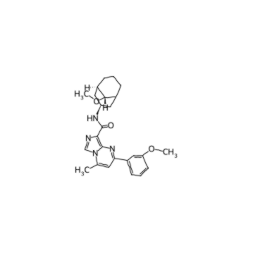 COc1cccc(-c2cc(C)n3cnc(C(=O)N[C@@H]4CC5CCC[C@H](C4)[C@H]5OC)c3n2)c1